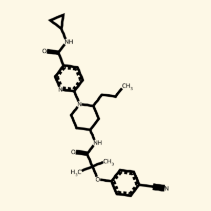 CCCC1CC(NC(=O)C(C)(C)Oc2ccc(C#N)cc2)CCN1c1ccc(C(=O)NC2CC2)cn1